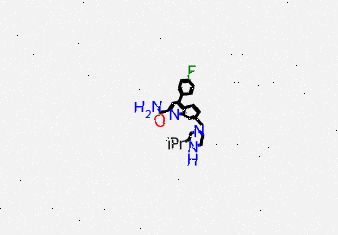 CC(C)C1CN(Cc2ccc3c(-c4ccc(F)cc4)cc(C(N)=O)nc3c2)CCN1